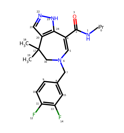 CC(C)NC(=O)C1=CN(Cc2ccc(F)c(F)c2)CC(C)(C)c2cn[nH]c21